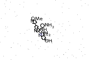 CCc1cc(O)ccc1/N=C(\N)c1cnn2cc(-c3ccc(OC)nc3)cc2c1NC1CCCC(N)C1